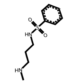 CNCCCNS(=O)(=O)c1cc[c]cc1